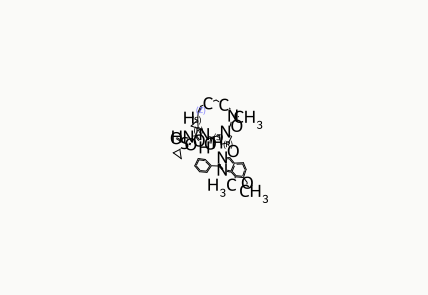 COc1ccc2c(O[C@@H]3C[C@H]4C(=O)N[C@]5(C(=O)NS(=O)(=O)C6CC6)C[C@H]5/C=C\CCCCN(C)C(=O)N4C3)nc(-c3ccccc3)nc2c1C